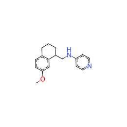 COc1ccc2c(c1)C(CNc1ccncc1)CCC2